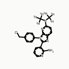 [2H]C([2H])([2H])N(c1ccc2nc(-c3cccnc3N)n(-c3ccc(CCl)cc3)c2n1)C([2H])([2H])[2H]